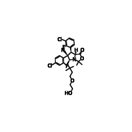 CC(C)(CCOCCO)C[C@@H]1N2[C@@H](C(=O)OC2(C)C)[C@H](c2cccc(Cl)c2F)[C@@]1(C#N)c1ccc(Cl)cc1F